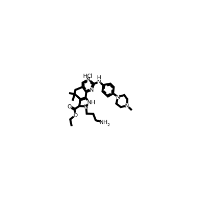 CCOC(=O)C1C2=C(NN1CCCN)c1nc(Nc3ccc(N4CCN(C)CC4)cc3)ncc1CC2(C)C.Cl